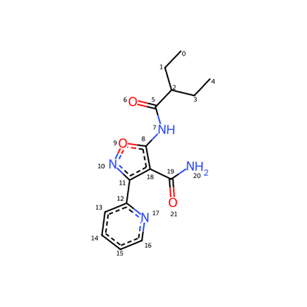 CCC(CC)C(=O)Nc1onc(-c2ccccn2)c1C(N)=O